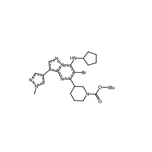 Cn1cc(-c2cnn3c(NC4CCCC4)c(Br)c(C4CCCN(C(=O)OC(C)(C)C)C4)nc23)cn1